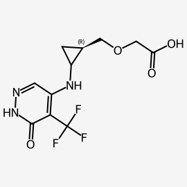 O=C(O)COC[C@@H]1CC1Nc1cn[nH]c(=O)c1C(F)(F)F